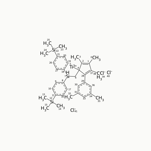 CC1=C(C)[C]([Ti+3])(C[SiH](c2ccc([Si](C)(C)C)cc2)c2ccc([Si](C)(C)C)cc2)C(c2cc(C)cc(C)c2)=C1C.[Cl-].[Cl-].[Cl-]